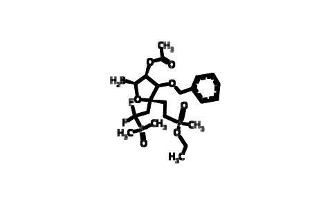 B[C@@H]1O[C@@](CCP(C)(=O)OCC)(CC(F)(F)P(C)(C)=O)C(OCc2ccccc2)[C@@H]1OC(C)=O